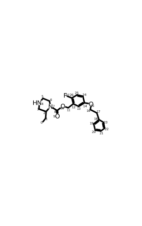 CCC1CNCCN1C(=O)OCc1cc(OCCc2ccccc2)ccc1F